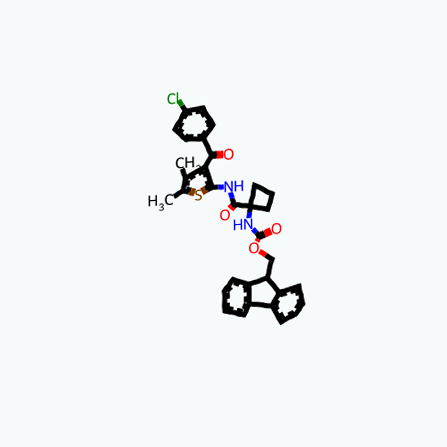 Cc1sc(NC(=O)C2(NC(=O)OCC3c4ccccc4-c4ccccc43)CCC2)c(C(=O)c2ccc(Cl)cc2)c1C